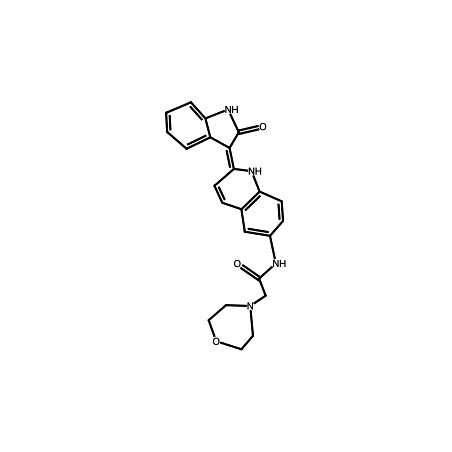 O=C(CN1CCOCC1)Nc1ccc2c(c1)C=CC(=C1C(=O)Nc3ccccc31)N2